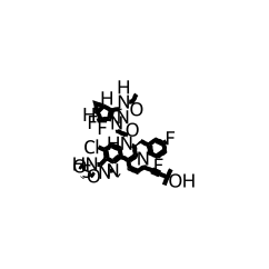 CC(=O)Nc1nn(CC(=O)N[C@@H](Cc2cc(F)cc(F)c2)c2nc(C#CC(C)(C)O)ccc2-c2ccc(Cl)c3c(NS(C)(=O)=O)nn(C)c23)c2c1[C@H]1C[C@H]1C2(F)F